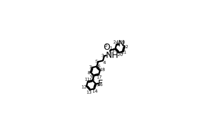 O=C(NCCCc1ccc(-c2ccccc2F)cc1)c1cccnc1